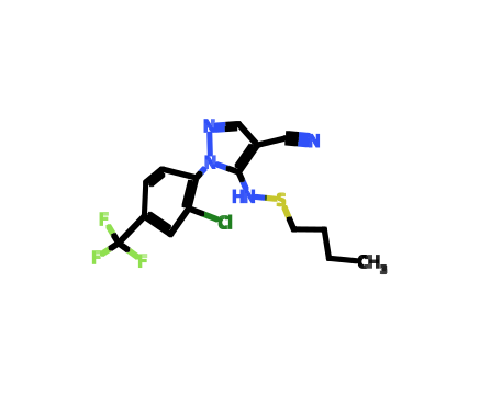 CCCCSNc1c(C#N)cnn1-c1ccc(C(F)(F)F)cc1Cl